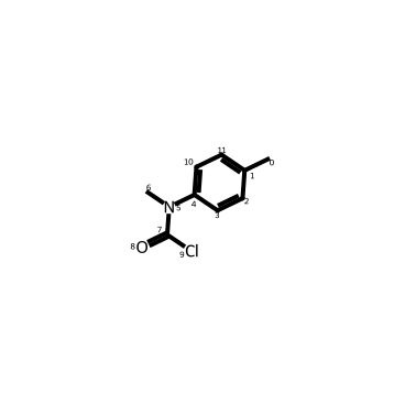 Cc1ccc(N(C)C(=O)Cl)cc1